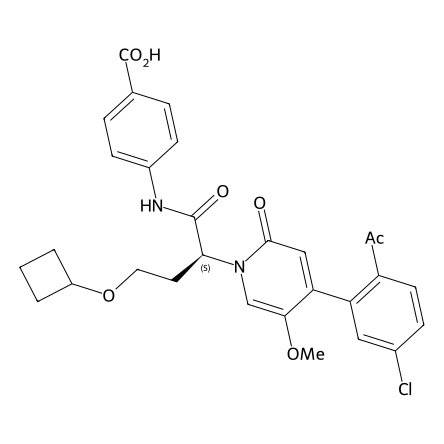 COc1cn([C@@H](CCOC2CCC2)C(=O)Nc2ccc(C(=O)O)cc2)c(=O)cc1-c1cc(Cl)ccc1C(C)=O